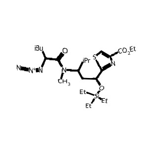 CCOC(=O)c1csc(C(CC(C(C)C)N(C)C(=O)C(N=[N+]=[N-])C(C)CC)O[Si](CC)(CC)CC)n1